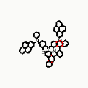 c1ccc(-c2cc3c4c(c2)N(c2c(-c5ccccc5)cccc2-c2ccccc2)c2cc(N(c5ccccc5)c5cc6ccc7cccc8ccc(c5)c6c78)ccc2B4c2ccc(N(c4ccccc4)c4cc5ccc6cccc7ccc(c4)c5c67)cc2S3)cc1